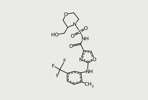 Cc1ccc(C(F)(F)F)cc1Nc1nc(C(=O)NS(=O)(=O)N2CCOCC2CO)co1